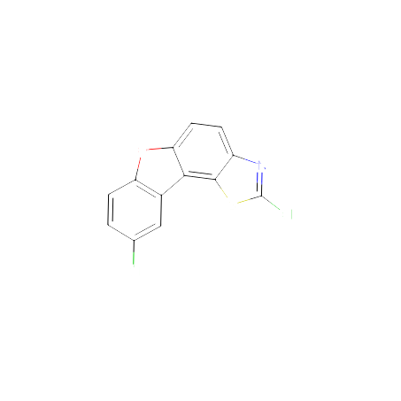 Clc1ccc2oc3ccc4nc(Cl)sc4c3c2c1